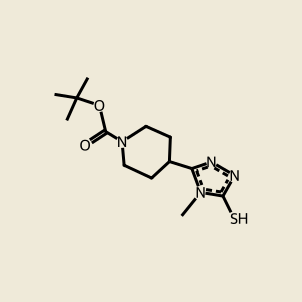 Cn1c(S)nnc1C1CCN(C(=O)OC(C)(C)C)CC1